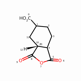 O=C(O)C1CCC2C(=O)OC(=O)[C@@H]2C1